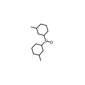 CC1CCCC([S+]([O-])C2CCCC(C)C2)C1